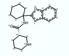 O=C(NC1(c2nc3ccccc3o2)CCCCC1)[C@H]1CCCNC1